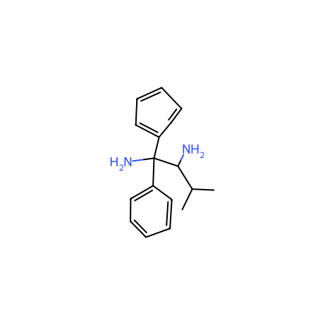 CC(C)C(N)C(N)(c1ccccc1)c1ccccc1